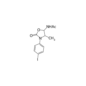 CC(=O)NC1OC(=O)N(c2ccc(I)cc2)C1C